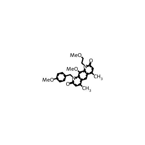 COCCn1c(=O)cc(C)c2cc3c(C)cc(=O)n(Cc4ccc(OC)cc4)c3c(OC)c21